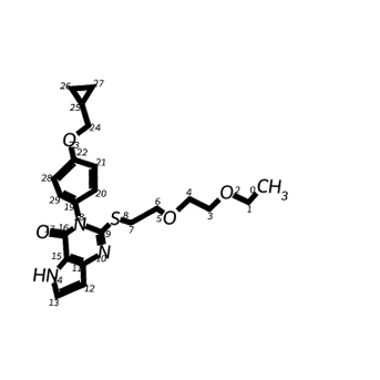 CCOCCOCCSc1nc2cc[nH]c2c(=O)n1-c1ccc(OCC2CC2)cc1